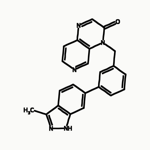 Cc1n[nH]c2cc(-c3cccc(Cn4c(=O)cnc5ccncc54)c3)ccc12